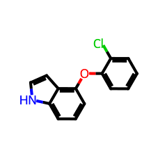 Clc1ccccc1Oc1cccc2[nH]ccc12